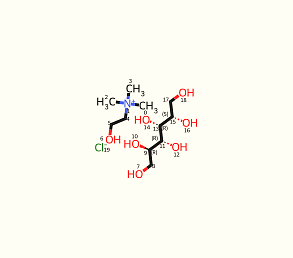 C[N+](C)(C)CCO.OC[C@@H](O)[C@@H](O)[C@H](O)[C@@H](O)CO.[Cl-]